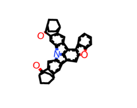 O=C1c2cc3c(cc2C2CCC1CC2)c1cc2oc4ccccc4c2c2c4cc5c(cc4n3c12)C(=O)C1CCC5CC1